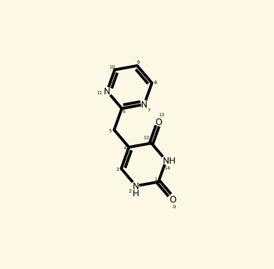 O=c1[nH]cc(Cc2ncccn2)c(=O)[nH]1